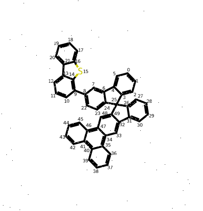 c1ccc2c(c1)-c1cc(-c3cccc4c3sc3ccccc34)ccc1C21c2ccccc2-c2cc3c4ccccc4c4ccccc4c3cc21